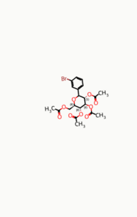 CC(=O)OC[C@H]1OC(c2cccc(Br)c2)[C@H](OC(C)=O)[C@@H](OC(C)=O)[C@@H]1OC(C)=O